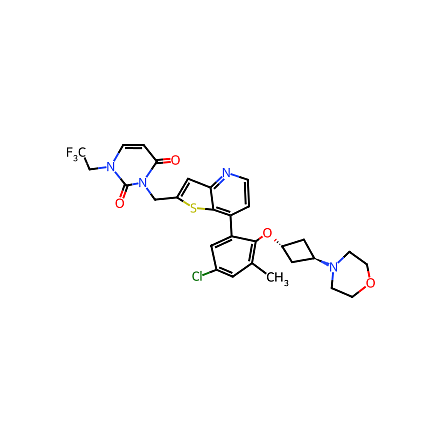 Cc1cc(Cl)cc(-c2ccnc3cc(Cn4c(=O)ccn(CC(F)(F)F)c4=O)sc23)c1O[C@H]1C[C@H](N2CCOCC2)C1